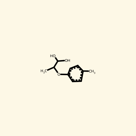 Cc1ccc(OC(C)C(O)O)cc1